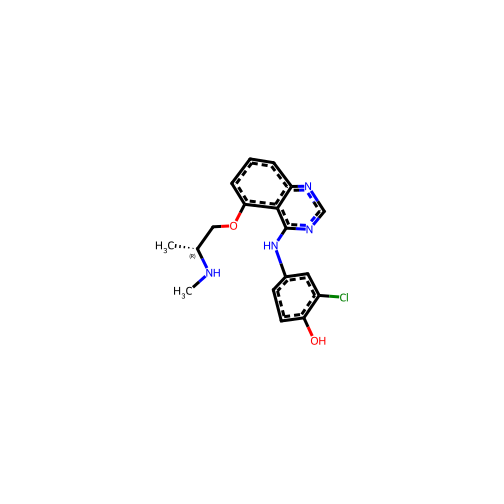 CN[C@H](C)COc1cccc2ncnc(Nc3ccc(O)c(Cl)c3)c12